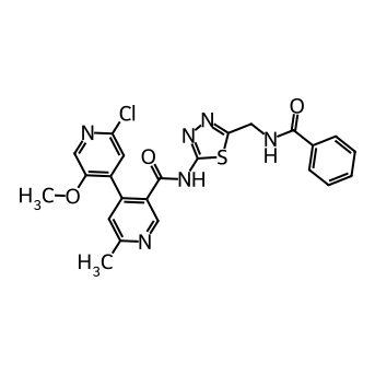 COc1cnc(Cl)cc1-c1cc(C)ncc1C(=O)Nc1nnc(CNC(=O)c2ccccc2)s1